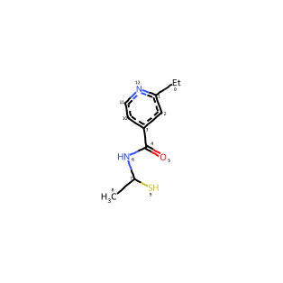 CCc1cc(C(=O)NC(C)S)ccn1